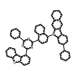 c1ccc(-c2ccc3c4cc5ccccc5cc4n(-c4ccc(-c5nc(-c6ccccc6)nc(-c6cccc7oc8ccccc8c67)n5)c5ccccc45)c3c2)cc1